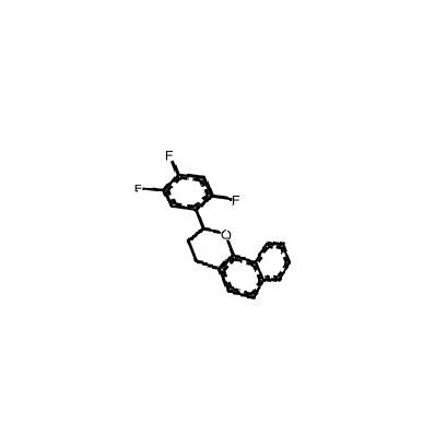 Fc1cc(F)c(C2CCc3ccc4ccccc4c3O2)cc1F